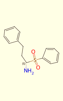 N[C@H](CCc1ccccc1)S(=O)(=O)c1ccccc1